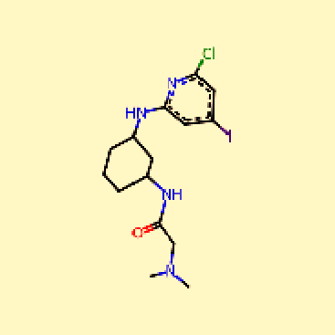 CN(C)CC(=O)NC1CCCC(Nc2cc(I)cc(Cl)n2)C1